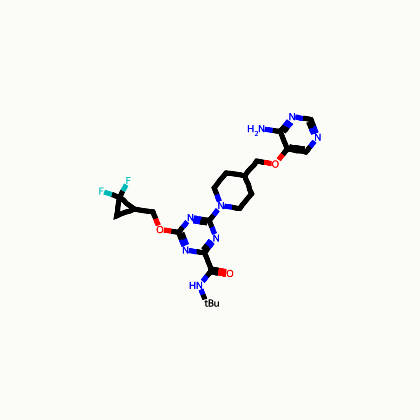 CC(C)(C)NC(=O)c1nc(OCC2CC2(F)F)nc(N2CCC(COc3cncnc3N)CC2)n1